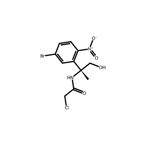 C[C@@](CO)(NC(=O)CCl)c1cc(Br)ccc1[N+](=O)[O-]